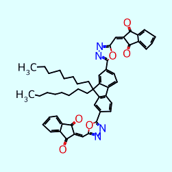 CCCCCCCCC1(CCCCCCCC)c2cc(-c3nnc(C=C4C(=O)c5ccccc5C4=O)o3)ccc2-c2ccc(-c3nnc(C=C4C(=O)c5ccccc5C4=O)o3)cc21